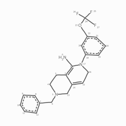 NC1=C2CCN(Cc3ccccc3)CC2=CCN1c1cccc(OC(F)(F)F)c1